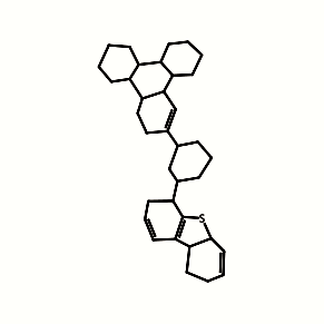 C1=CC2SC3=C(C=CCC3C3CCCC(C4=CC5C6CCCCC6C6CCCCC6C5CC4)C3)C2CC1